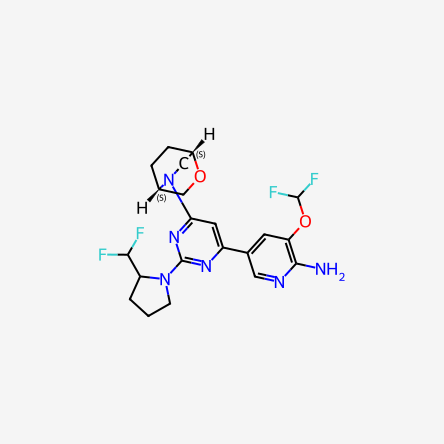 Nc1ncc(-c2cc(N3C[C@@H]4CC[C@H]3CO4)nc(N3CCCC3C(F)F)n2)cc1OC(F)F